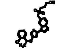 C[C@@H](Oc1csc(-n2cnc3ccc(CS(=O)(=O)CCCO)cc32)c1)c1ccccc1Cl